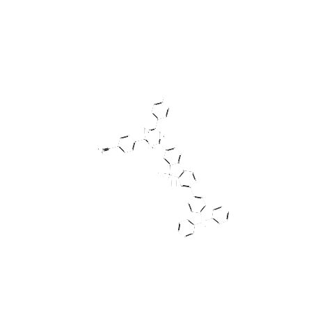 CC1(C)c2cc(-c3ccc(P(=O)(c4ccccc4)c4ccccc4)cc3)ccc2-c2ccc(-c3nc(-c4ccc(F)cc4)nc(-c4ccc(C#N)cc4)n3)cc21